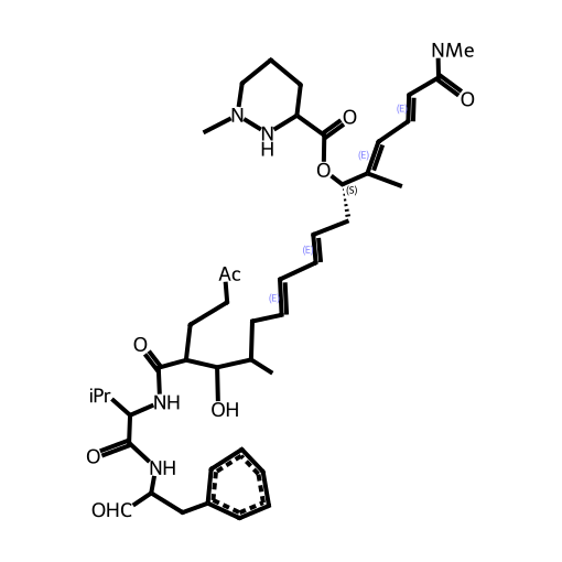 CNC(=O)/C=C/C=C(\C)[C@H](C/C=C/C=C/CC(C)C(O)C(CCC(C)=O)C(=O)NC(C(=O)NC(C=O)Cc1ccccc1)C(C)C)OC(=O)C1CCCN(C)N1